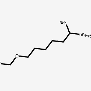 CCCCCC(CCC)CCCCCO[CH]F